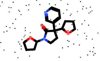 O=C1N(C2CCCO2)CCC1(c1cccnc1)C1CCCO1